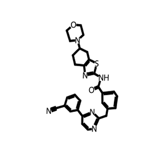 N#Cc1cccc(-c2ccnc(Cc3cccc(C(=O)Nc4nc5c(s4)CC(N4CCOCC4)CC5)c3)n2)c1